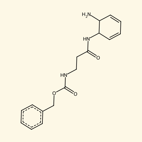 NC1C=CC=CC1NC(=O)CCNC(=O)OCc1ccccc1